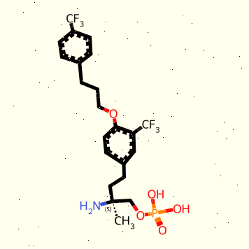 C[C@](N)(CCc1ccc(OCCCc2ccc(C(F)(F)F)cc2)c(C(F)(F)F)c1)COP(=O)(O)O